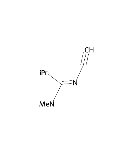 C#C/N=C(/NC)C(C)C